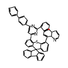 C1=CC2C=CC=C(c3cccc4c3Sc3c(-c5cc(-c6ccc(-c7ccccc7)cc6)nc(-c6ccccc6)n5)cccc3C43c4ccccc4-c4ccccc43)C2N=C1